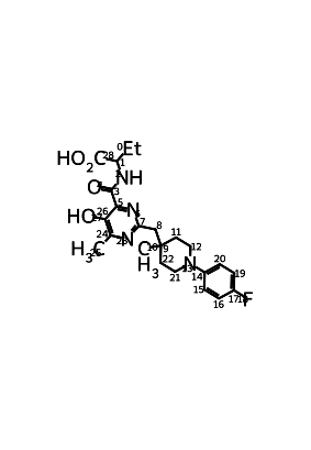 CCC(NC(=O)c1nc(CC2(C)CCN(c3ccc(F)cc3)CC2)nc(C)c1O)C(=O)O